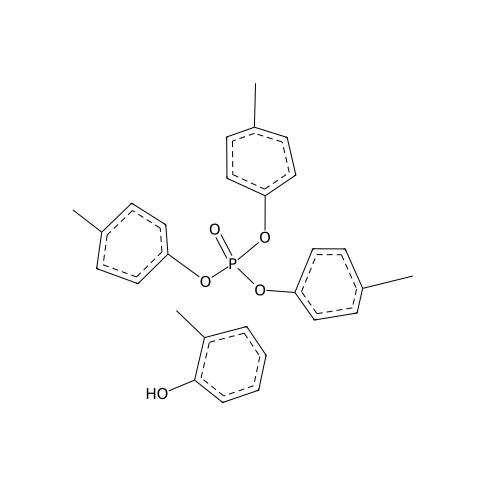 Cc1ccc(OP(=O)(Oc2ccc(C)cc2)Oc2ccc(C)cc2)cc1.Cc1ccccc1O